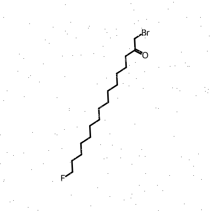 O=C(CBr)CCCCCCCCCCCCCCF